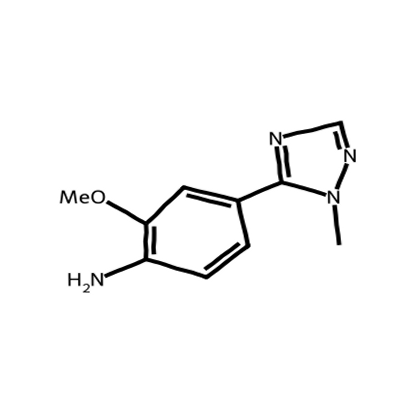 COc1cc(-c2ncnn2C)ccc1N